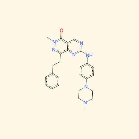 CN1CCN(c2ccc(Nc3ncc4c(=O)n(C)nc(CCc5ccccc5)c4n3)cc2)CC1